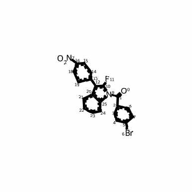 O=C(c1ccc(Br)cc1)n1c(F)c(-c2ccc([N+](=O)[O-])cc2)c2ccccc21